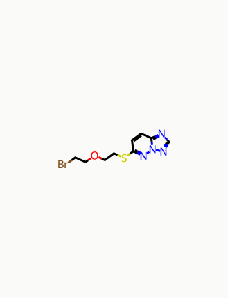 BrCCOCCSc1ccc2ncnn2n1